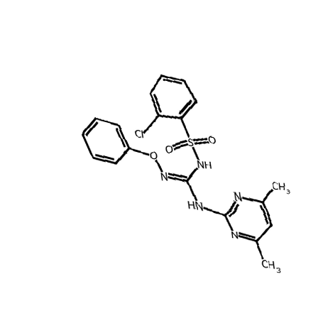 Cc1cc(C)nc(NC(=NOc2ccccc2)NS(=O)(=O)c2ccccc2Cl)n1